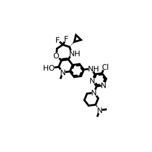 CN1c2ccc(Nc3nc(N4CCC[C@@H](N(C)C)C4)ncc3Cl)cc2C2=C(OCC(F)(F)[C@H](C3CC3)N2)C1O